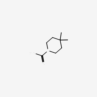 CNC(=N)N1CCC(C)(C)CC1